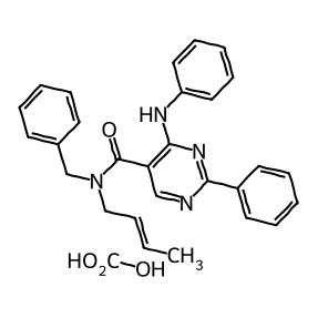 C/C=C/CN(Cc1ccccc1)C(=O)c1cnc(-c2ccccc2)nc1Nc1ccccc1.O=C(O)O